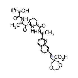 CC(C)[C@H](O)C(=O)N[C@@H](C)C(=O)N1CCC[C@@H](C(=O)N[C@H](C)c2ccc3ccc(/C=C/C4(C(=O)O)COCCOC4)cc3n2)N1